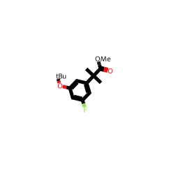 COC(=O)C(C)(C)c1cc(F)cc(OC(C)(C)C)c1